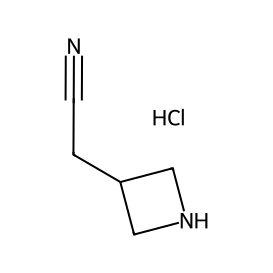 Cl.N#CCC1CNC1